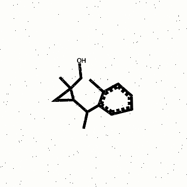 Cc1ccccc1C(C)C1CC1(C)CO